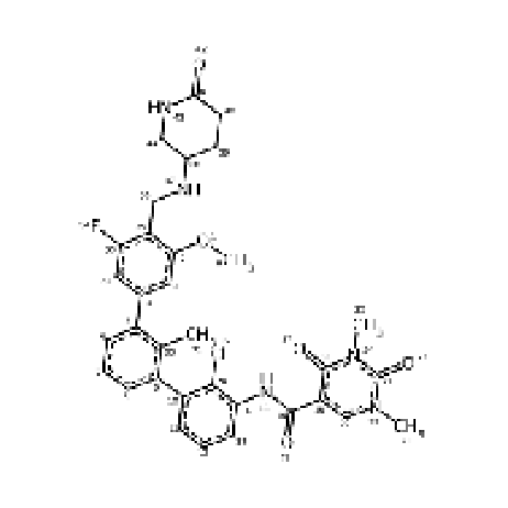 COc1cc(-c2cccc(-c3cccc(NC(=O)c4cn(C)c(=O)n(C)c4=O)c3Cl)c2C)cc(F)c1CNC1CCC(=O)NC1